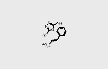 O=C(O)C=Cc1ccccc1.Sc1nnc(S)s1